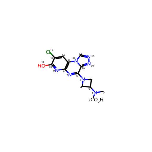 CN(C(=O)O)C1CN(c2nc3nc(O)c(Cl)cc3n3cnnc23)C1